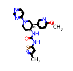 COc1ccc([C@@H]2CN(c3ccncn3)CC[C@H]2NC(=O)Nc2cc(C)ns2)cn1